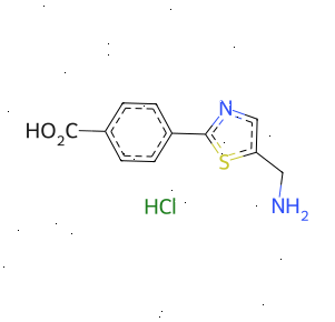 Cl.NCc1cnc(-c2ccc(C(=O)O)cc2)s1